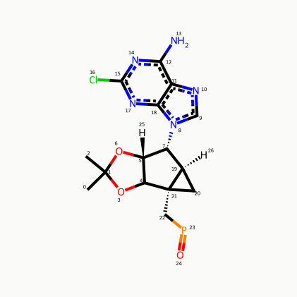 CC1(C)OC2[C@H](O1)[C@H](n1cnc3c(N)nc(Cl)nc31)[C@H]1C[C@@]21CP=O